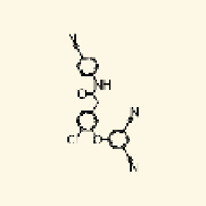 N#Cc1ccc(NC(=O)Cc2ccc(Cl)c(Oc3cc(C#N)cc(C#N)c3)c2)cc1